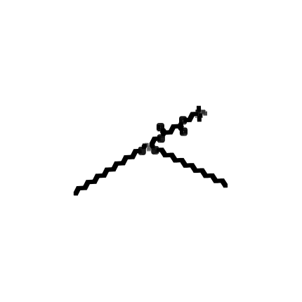 CCCCCCCCCCCCCCOC[C@H](COC(=O)CCC(=O)OCC[N+](C)(C)C)OCCCCCCCCCCCCCC